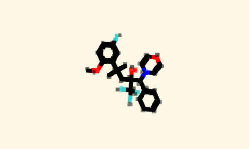 COc1ccc(F)cc1C(C)(C)CC(O)(C(C1=CC=CCC1)N1C=COC=C1)C(F)(F)F